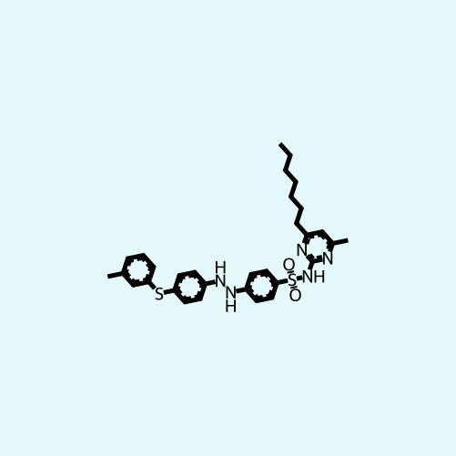 CCCCCCCc1cc(C)nc(NS(=O)(=O)c2ccc(NNc3ccc(Sc4cccc(C)c4)cc3)cc2)n1